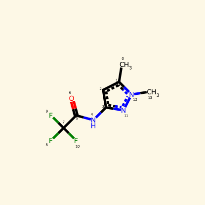 Cc1cc(NC(=O)C(F)(F)F)nn1C